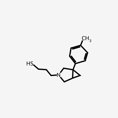 Cc1ccc(C23CC2CN(CCCS)C3)cc1